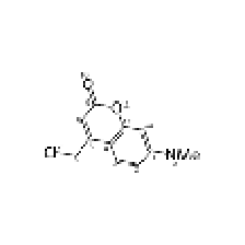 CNc1ccc2c(CCl)cc(=O)oc2c1